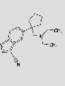 CCN(CC)CC1(c2ccc3[nH]cc(C#N)c3c2)CCCC1